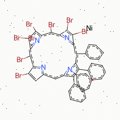 BrC1=Cc2cc3c(-c4ccccc4)c(-c4ccccc4)c(c(-c4ccccc4)c4nc(c(Br)c5c(Br)c(Br)c(c(Br)c1n2)n5Br)C(Br)=C4Br)n3-c1ccccc1.[Ni]